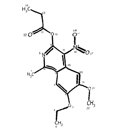 CCOc1cc2c(C)nc(OC(=O)CC)c([N+](=O)[O-])c2cc1OC